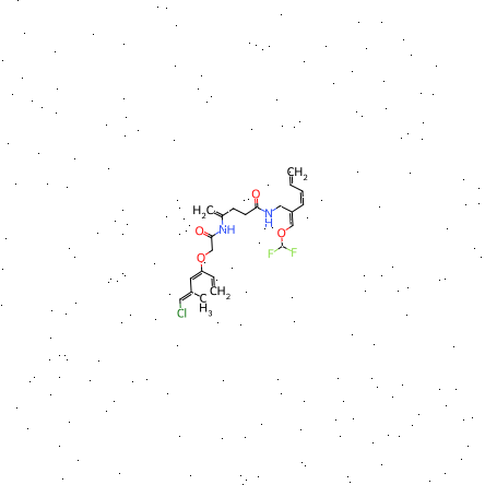 C=C/C=C\C(=C\OC(F)F)CNC(=O)CCC(=C)NC(=O)CO/C(C=C)=C/C(C)=C/Cl